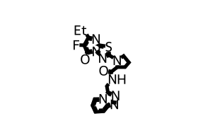 CCc1nc2sc(N3CCCC3C(=O)NCc3nnc4ccccn34)nn2c(=O)c1F